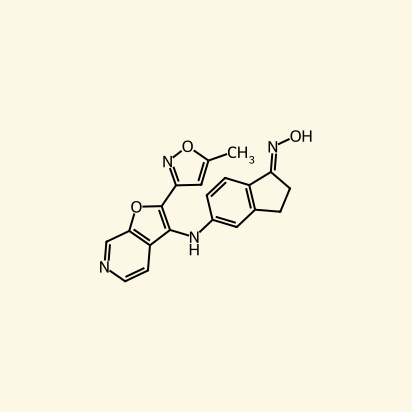 Cc1cc(-c2oc3cnccc3c2Nc2ccc3c(c2)CCC3=NO)no1